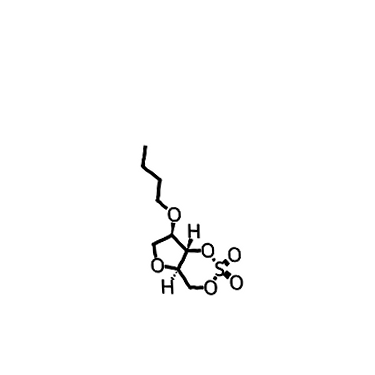 CCCCO[C@@H]1CO[C@@H]2COS(=O)(=O)O[C@@H]12